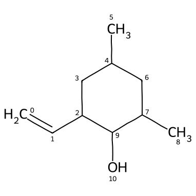 C=CC1CC(C)CC(C)C1O